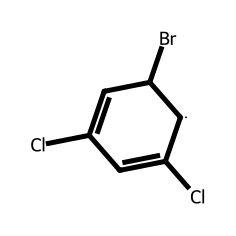 ClC1=CC(Cl)=CC(Br)[CH]1